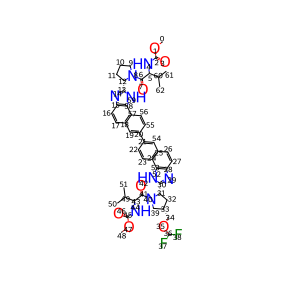 COC(=O)NC(C(=O)N1CCC[C@H]1c1nc2ccc3cc(-c4ccc5c(ccc6nc([C@@H]7C[C@H](COC(F)F)CN7C(=O)[C@@H](NC(=O)OC)C(C)C)[nH]c65)c4)ccc3c2[nH]1)C(C)C